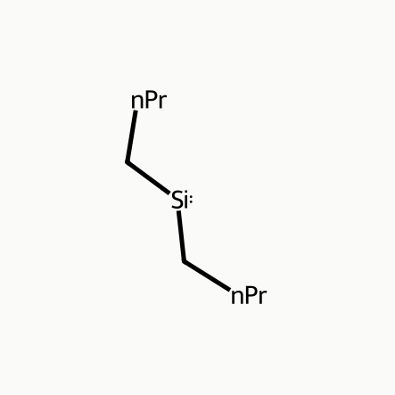 CCCC[Si]CCCC